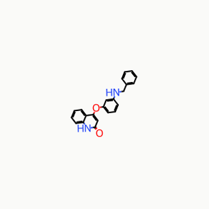 O=c1cc(Oc2cccc(NCc3ccccc3)c2)c2ccccc2[nH]1